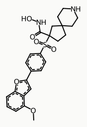 COc1cccc2oc(-c3ccc(S(=O)(=O)C4(C(=O)NO)CCC5(CCNCC5)C4)cc3)cc12